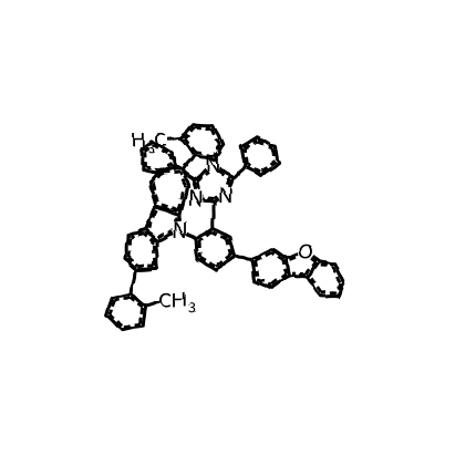 Cc1ccccc1-c1ccc2c3ccc(-c4ccccc4C)cc3n(-c3ccc(-c4ccc5c(c4)oc4ccccc45)cc3-c3nc(-c4ccccc4)nc(-c4ccccc4)n3)c2c1